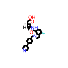 C[C@@]1(CC(=O)O)CC2(NC(=O)c3ccc(F)c4ccn(Cc5ccc(-c6ccncc6)cc5)c34)C[C@H]21